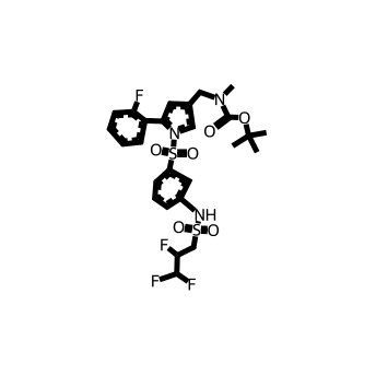 CN(Cc1cc(-c2ccccc2F)n(S(=O)(=O)c2cccc(NS(=O)(=O)CC(F)C(F)F)c2)c1)C(=O)OC(C)(C)C